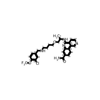 CC(COCCCCNCc1ccc(OC(F)(F)F)c(Cl)c1)Nc1nc2cc(C(N)=O)ccc2c2cnccc12